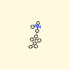 c1ccc(-n2c(-c3ccc(-c4ccc5c(c4)-c4ccccc4C54c5ccccc5-c5c4cc4c6c(cccc56)-c5ccccc5-4)cc3)nc3ccccc32)cc1